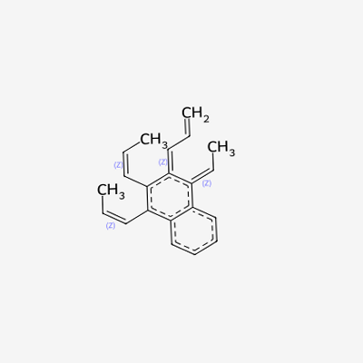 C=C/C=c1/c(/C=C\C)c(/C=C\C)c2ccccc2/c1=C/C